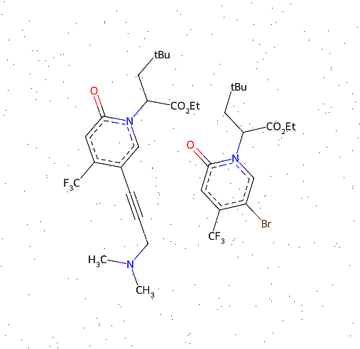 CCOC(=O)C(CC(C)(C)C)n1cc(Br)c(C(F)(F)F)cc1=O.CCOC(=O)C(CC(C)(C)C)n1cc(C#CCN(C)C)c(C(F)(F)F)cc1=O